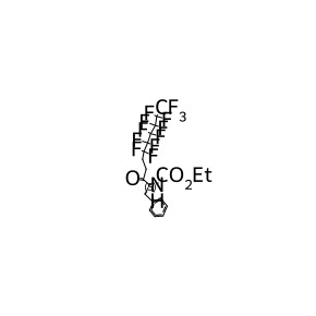 CCOC(=O)N[C@@H](Cc1ccccc1)C(=O)CCC(F)(F)C(F)(F)C(F)(F)C(F)(F)C(F)(F)C(F)(F)F